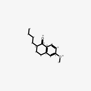 CCCCC1CCc2cc(OC)ccc2C1=O